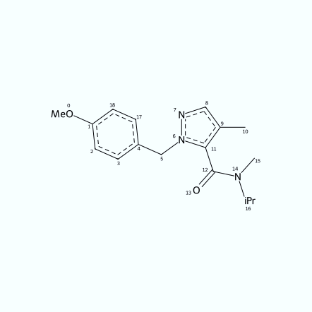 COc1ccc(Cn2ncc(C)c2C(=O)N(C)C(C)C)cc1